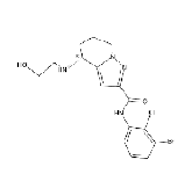 O=C(Nc1cccc(Br)c1Cl)c1cc2n(n1)CCC[C@H]2NCCO